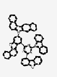 c1ccc2cc3c(cc2c1)c1c2ccccc2ccc1n3-c1cc(-c2nc(-c3cccc4oc5ccccc5c34)nc(-n3c4ccccc4c4ccccc43)n2)c2c(c1)oc1c3ccccc3ccc12